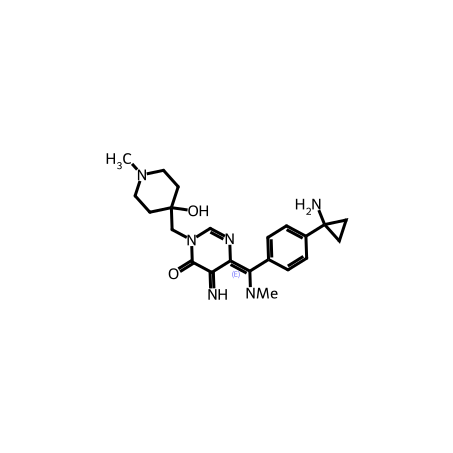 CN/C(=C1/N=CN(CC2(O)CCN(C)CC2)C(=O)C1=N)c1ccc(C2(N)CC2)cc1